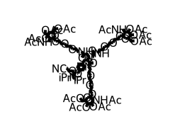 CC(=O)NC1C(OCCOCCOCCNC(=O)CN(CC(=O)NCCOCCOCCOC2OC(COC(C)=O)CC(COC(C)=O)(OC(C)=O)C2NC(C)=O)C(Cc2ccc(OP(OCCC#N)N(C(C)C)C(C)C)cc2)C(=O)NCCOCCOCCOC2OC(COC(C)=O)C(OC(C)=O)C(OC(C)=O)C2NC(C)=O)OC(COC(C)=O)C(OC(C)=O)C1OC(C)=O